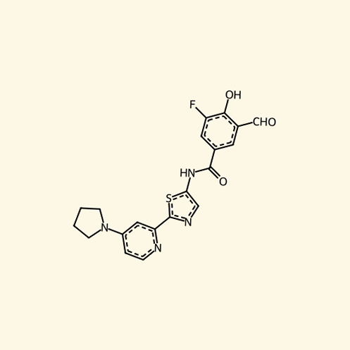 O=Cc1cc(C(=O)Nc2cnc(-c3cc(N4CCCC4)ccn3)s2)cc(F)c1O